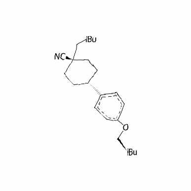 CCC(C)C[C@]1(C#N)CC[C@H](c2ccc(OC[C@H](C)CC)cc2)CC1